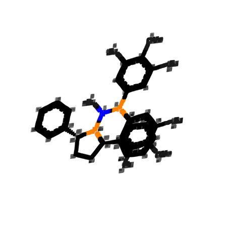 CCCCN(P(c1cc(C(C)(C)C)c(OC)c(C(C)(C)C)c1)c1cc(C(C)(C)C)c(OC)c(C(C)(C)C)c1)P1[C@@H](c2ccccc2)CC[C@@H]1c1ccccc1